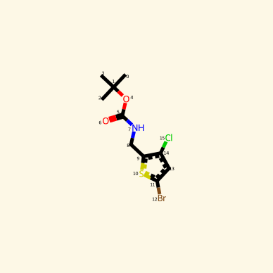 CC(C)(C)OC(=O)NCc1sc(Br)cc1Cl